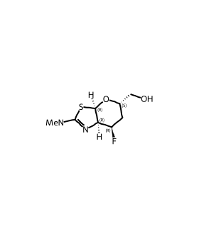 CNC1=N[C@@H]2[C@H](F)C[C@@H](CO)O[C@@H]2S1